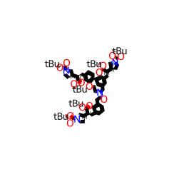 CC(C)(C)OC(=O)[C@@H](Cc1cccc(CC(=O)N(CCOc2cccc(C[C@H](C(=O)OC(C)(C)C)[C@@H]3CCN(C(=O)OC(C)(C)C)C3)c2)Cc2cccc(C[C@H](C(=O)OC(C)(C)C)[C@@H]3CCN(C(=O)OC(C)(C)C)C3)c2)c1)[C@@H]1CCN(C(=O)OC(C)(C)C)C1